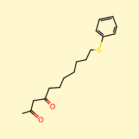 CC(=O)CC(=O)CCCCCCCSc1ccccc1